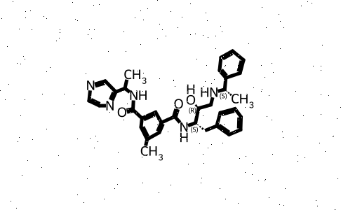 Cc1cc(C(=O)NC(C)c2cnccn2)cc(C(=O)N[C@@H](Cc2ccccc2)[C@H](O)CN[C@@H](C)c2ccccc2)c1